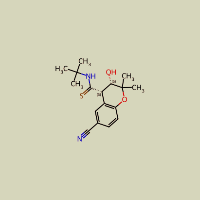 CC(C)(C)NC(=S)[C@H]1c2cc(C#N)ccc2OC(C)(C)[C@H]1O